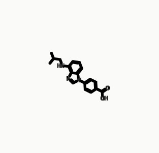 CC(C)CNc1cccc2c1ncn2-c1ccc(C(=O)O)cc1